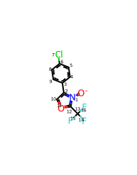 [O-][n+]1c(-c2ccc(Cl)cc2)coc1C(F)(F)F